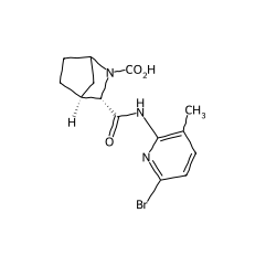 Cc1ccc(Br)nc1NC(=O)[C@@H]1[C@H]2CCC(C2)N1C(=O)O